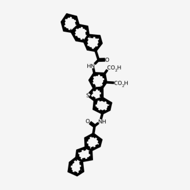 O=C(Nc1ccc2c(c1)sc1cc(NC(=O)c3ccc4cc5ccccc5cc4c3)c(C(=O)O)c(C(=O)O)c12)c1ccc2cc3ccccc3cc2c1